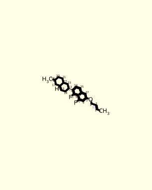 C/C=C/COc1cc(F)c2c(F)c([C@@H]3CC[C@@H]4CC(C)CCC4C3)ccc2c1